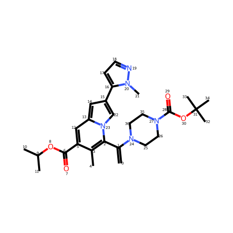 C=C(c1c(C)c(C(=O)OC(C)C)cc2cc(-c3ccnn3C)cn12)N1CCN(C(=O)OC(C)(C)C)CC1